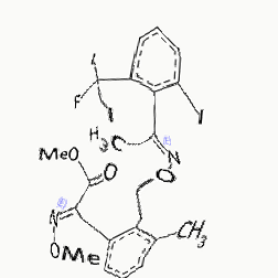 CO/N=C(/C(=O)OC)c1cccc(C)c1CO/N=C(\C)c1c(I)cccc1C(F)(I)I